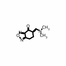 CN(C)/C=C1\CCc2nonc2C1=O